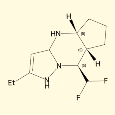 CCC1=CC2N[C@@H]3CCC[C@@H]3[C@@H](C(F)F)N2N1